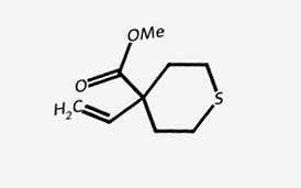 C=CC1(C(=O)OC)CCSCC1